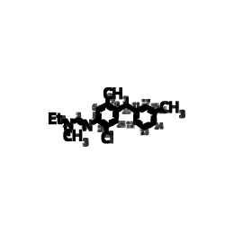 CCN(C)C=Nc1cc(C)c(Cc2cccc(C)c2)cc1Cl